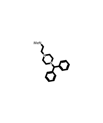 CNCCN1CCN(C(c2ccccc2)c2ccccc2)CC1